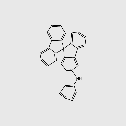 c1ccc(Nc2ccc3c(c2)-c2ccccc2C32c3ccccc3-c3ccccc32)cc1